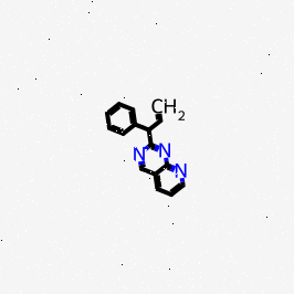 C=CC(c1ccccc1)c1ncc2cccnc2n1